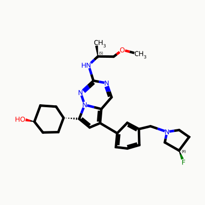 COC[C@H](C)Nc1ncc2c(-c3cccc(CN4CC[C@@H](F)C4)c3)cc([C@H]3CC[C@H](O)CC3)n2n1